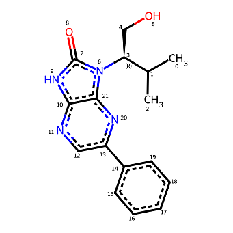 CC(C)[C@H](CO)n1c(=O)[nH]c2ncc(-c3ccccc3)nc21